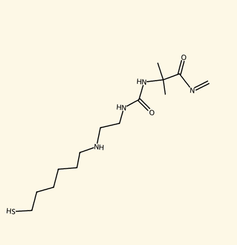 C=NC(=O)C(C)(C)NC(=O)NCCNCCCCCCS